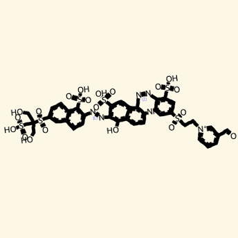 Nc1ccc2c(O)c(/N=N/c3ccc4cc(S(=O)(=O)C(CO)(CO)S(=O)(=O)O)ccc4c3S(=O)(=O)O)c(S(=O)(=O)O)cc2c1/N=N\c1ccc(S(=O)(=O)CC[n+]2cccc(C=O)c2)cc1S(=O)(=O)O